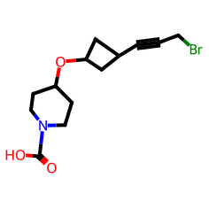 O=C(O)N1CCC(OC2CC(C#CCBr)C2)CC1